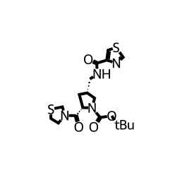 CC(C)(C)OC(=O)N1C[C@@H](CNC(=O)c2cscn2)C[C@H]1C(=O)N1CCSC1